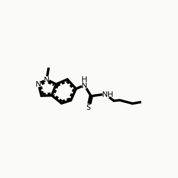 CCCCNC(=S)Nc1ccc2cnn(C)c2c1